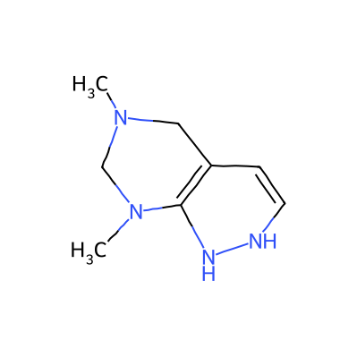 CN1CC2=C(NNC=C2)N(C)C1